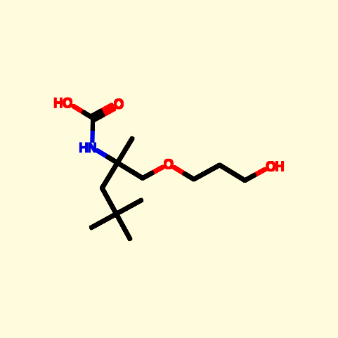 CC(C)(C)CC(C)(COCCCO)NC(=O)O